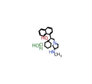 CN[C@@H]1CCN(CC(c2cccc3ccccc23)C2(O)CCCCC2)C1.Cl.Cl